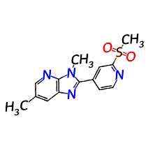 Cc1cnc2c(c1)nc(-c1ccnc(S(C)(=O)=O)c1)n2C